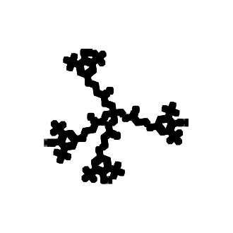 CC(C)(C)c1cc(OCCC(=O)OCC(COC(=O)CCOc2cc(C(C)(C)C)c(O)c(C(C)(C)C)c2)(COC(=O)CCOc2cc(C(C)(C)C)c(O)c(C(C)(C)C)c2)COC(=O)CCOc2cc(C(C)(C)C)c(O)c(C(C)(C)C)c2)cc(C(C)(C)C)c1O